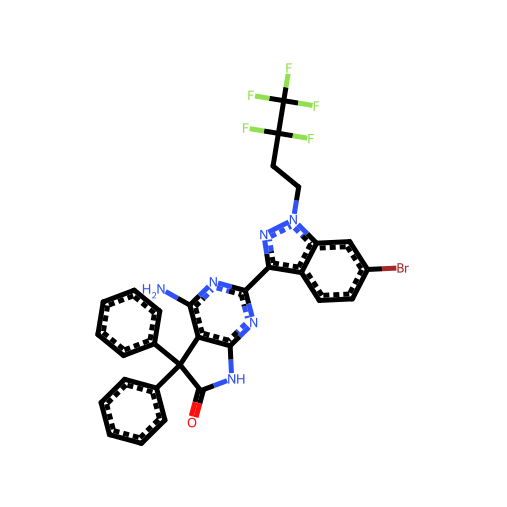 Nc1nc(-c2nn(CCC(F)(F)C(F)(F)F)c3cc(Br)ccc23)nc2c1C(c1ccccc1)(c1ccccc1)C(=O)N2